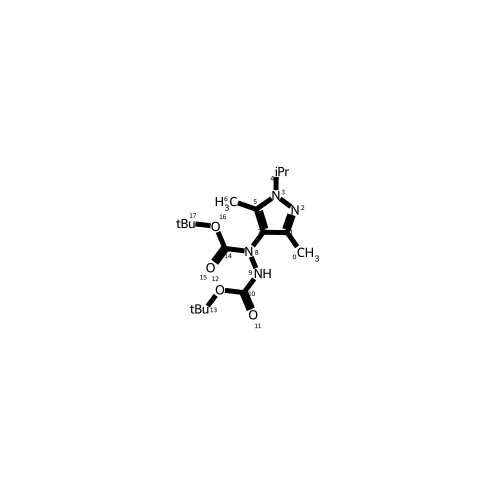 Cc1nn(C(C)C)c(C)c1N(NC(=O)OC(C)(C)C)C(=O)OC(C)(C)C